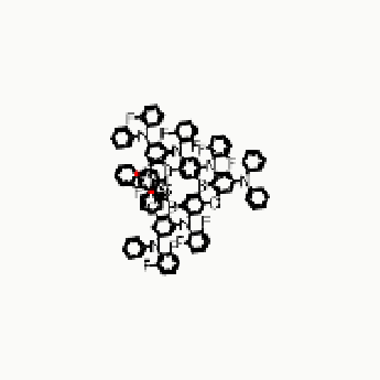 Fc1ccccc1N(c1ccccc1)c1cc2c3c(c1)N(c1ccccc1F)c1c(sc4ccccc14)B3c1cc3c(cc1N2c1c(F)cccc1F)N(c1c(F)cccc1F)c1cc(N(c2ccccc2)c2ccccc2)cc2c1B3c1cc3c(cc1O2)N(c1c(F)cccc1F)c1cc(N(c2ccccc2)c2c(F)cccc2F)cc2c1B3c1sc3ccccc3c1S2